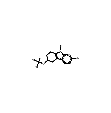 [2H]C([2H])([2H])OC1CCc2c(c3ccc(Br)nc3n2C)C1